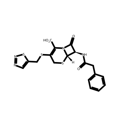 O=C(Cc1ccccc1)N[C@@H]1C(=O)N2C(C(=O)O)=C(SCc3cnns3)CS[C@@H]12